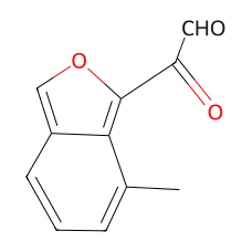 Cc1cccc2coc(C(=O)C=O)c12